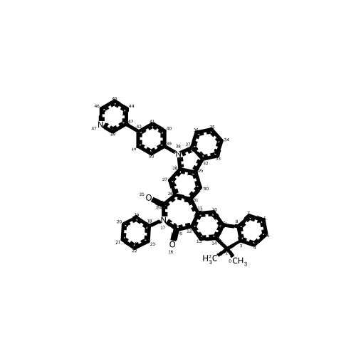 CC1(C)c2ccccc2-c2cc3c(cc21)c(=O)n(-c1ccccc1)c(=O)c1cc2c(cc13)c1ccccc1n2-c1ccc(-c2cccnc2)cc1